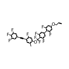 C=CCOc1cc(F)c(-c2cc(F)c(C(F)(F)Oc3cc(F)c(C#Cc4cc(F)c(F)c(F)c4)cc3C)c(F)c2)c(F)c1